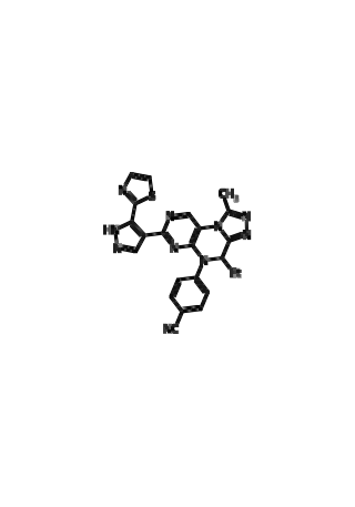 CCC1c2nnc(C)n2-c2cnc(-c3cn[nH]c3-c3nccs3)nc2N1c1ccc(C#N)cc1